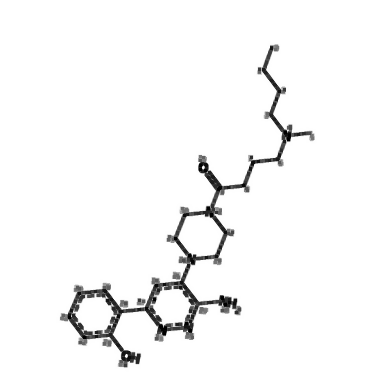 CCCCN(C)CCCC(=O)N1CCN(c2cc(-c3ccccc3O)nnc2N)CC1